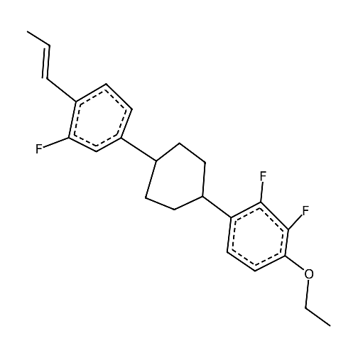 C/C=C/c1ccc(C2CCC(c3ccc(OCC)c(F)c3F)CC2)cc1F